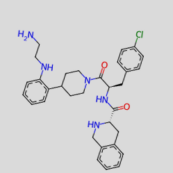 NCCNc1ccccc1C1CCN(C(=O)[C@@H](Cc2ccc(Cl)cc2)NC(=O)[C@@H]2Cc3ccccc3CN2)CC1